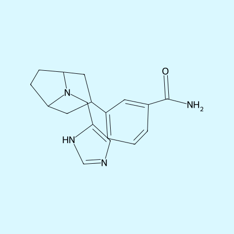 NC(=O)c1cccc(C2CC3CCC(C2)N3Cc2cnc[nH]2)c1